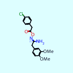 COc1ccc(C/C(N)=N/OC(=O)Cc2ccc(Cl)cc2)cc1OC